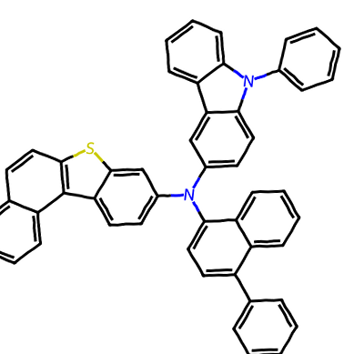 c1ccc(-c2ccc(N(c3ccc4c(c3)sc3ccc5ccccc5c34)c3ccc4c(c3)c3ccccc3n4-c3ccccc3)c3ccccc23)cc1